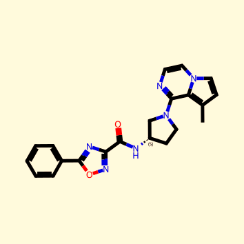 Cc1ccn2ccnc(N3CC[C@H](NC(=O)c4noc(-c5ccccc5)n4)C3)c12